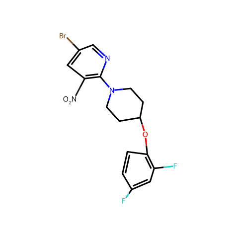 O=[N+]([O-])c1cc(Br)cnc1N1CCC(Oc2ccc(F)cc2F)CC1